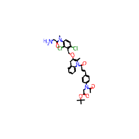 CC(=O)N(CC(=O)OC(C)(C)C)c1ccc(C=CC(=O)N2C(C)=C(OCc3c(Cl)ccc(N(C)C(=O)CN)c3Cl)Cc3ccccc32)cc1